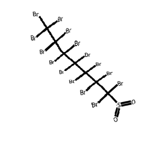 O=[S](=O)C(Br)(Br)C(Br)(Br)C(Br)(Br)C(Br)(Br)C(Br)(Br)C(Br)(Br)C(Br)(Br)Br